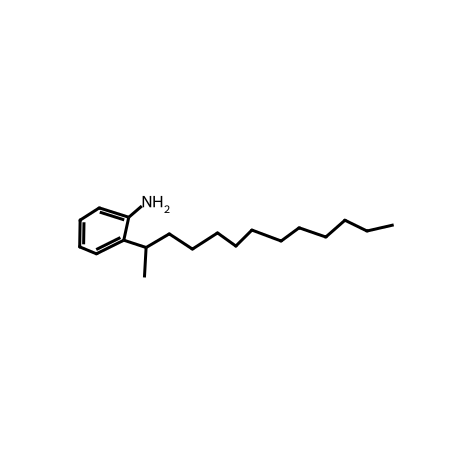 CCCCCCCCCCCC(C)c1ccccc1N